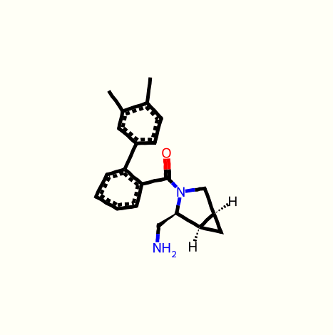 Cc1ccc(-c2ccccc2C(=O)N2C[C@H]3C[C@H]3[C@H]2CN)cc1C